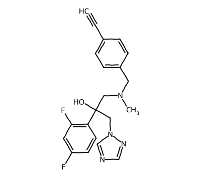 C#Cc1ccc(CN(C)CC(O)(Cn2cncn2)c2ccc(F)cc2F)cc1